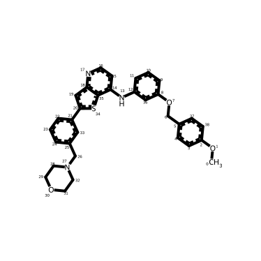 COc1ccc(COc2cccc(Nc3ccnc4cc(-c5cccc(CN6CCOCC6)c5)sc34)c2)cc1